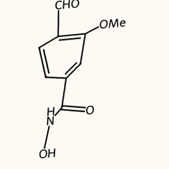 COc1cc(C(=O)NO)ccc1C=O